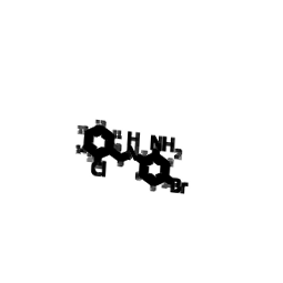 Nc1cc(Br)ccc1NCc1ccccc1Cl